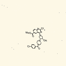 COC(=O)c1ccc2nc(C(F)(F)F)nc(N3CC(O)C(N4CCN(C(=O)c5ccc(Cl)cc5)CC4)C3)c2c1